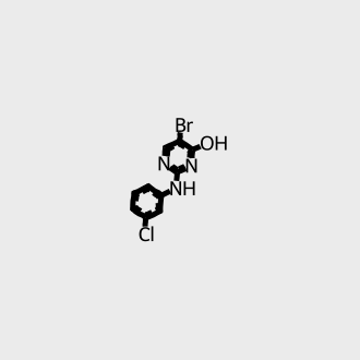 Oc1nc(Nc2cccc(Cl)c2)ncc1Br